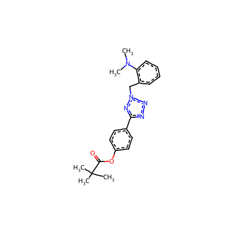 CN(C)c1ccccc1Cn1nnc(-c2ccc(OC(=O)C(C)(C)C)cc2)n1